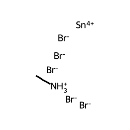 C[NH3+].[Br-].[Br-].[Br-].[Br-].[Br-].[Sn+4]